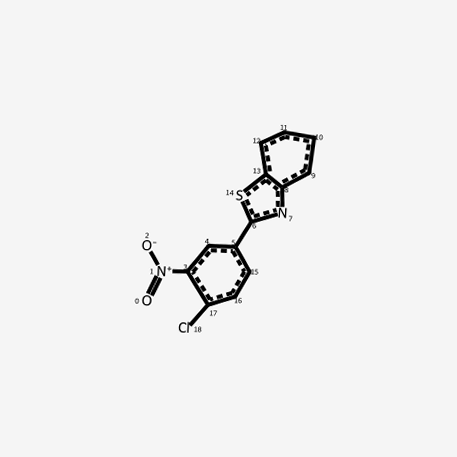 O=[N+]([O-])c1cc(-c2nc3ccccc3s2)ccc1Cl